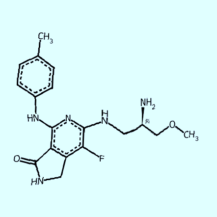 COC[C@H](N)CNc1nc(Nc2ccc(C)cc2)c2c(c1F)CNC2=O